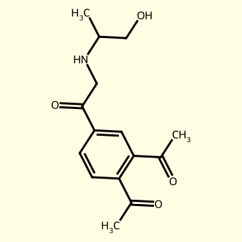 CC(=O)c1ccc(C(=O)CNC(C)CO)cc1C(C)=O